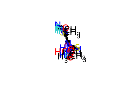 Cc1ncsc1-c1ccc([C@H](CC(=O)N2CCC(C#Cc3ccc(N4C(=S)N(c5ccc(C#N)c(C(F)(F)F)c5F)C(=O)C4(C)C)cc3)CC2)NC(=O)[C@@H]2C[C@@H](O)CN2C(=O)[C@@H](NC(=O)C2(F)CC2)C(C)(C)C)cc1